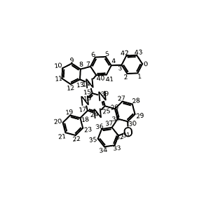 c1ccc(-c2ccc3c4ccccc4n(-c4nc(-c5ccccc5)nc(-c5cccc6oc7ccccc7c56)n4)c3c2)cc1